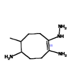 CC1CC/C(NN)=C(/N)CCC1N